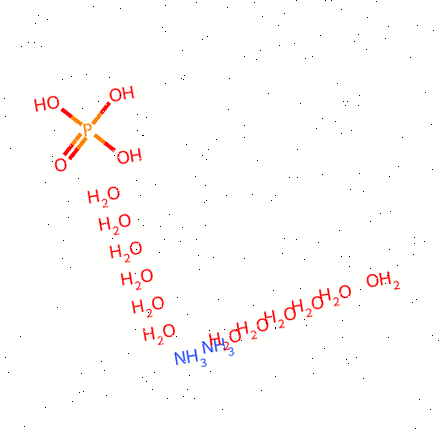 N.N.O.O.O.O.O.O.O.O.O.O.O.O.O=P(O)(O)O